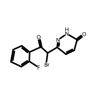 O=C(c1ccccc1F)C(Br)c1ccc(=O)[nH]n1